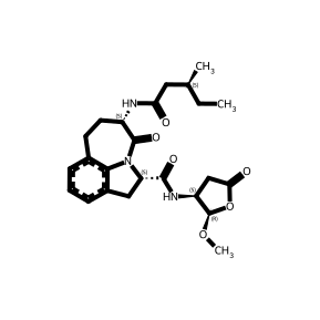 CC[C@H](C)CC(=O)N[C@H]1CCc2cccc3c2N(C1=O)[C@H](C(=O)N[C@H]1CC(=O)O[C@H]1OC)C3